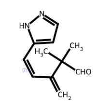 C=C(/C=C\c1ccn[nH]1)C(C)(C)C=O